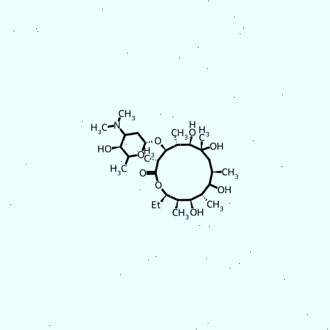 CC[C@H]1OC(=O)[C@H](C)[C@@H](O[C@H]2CC(N(C)C)[C@H](O)C(C)O2)[C@H](C)[C@@H](O)[C@](C)(O)C[C@@H](C)C(O)[C@H](C)[C@@H](O)[C@H]1C